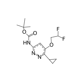 CC(C)(C)OC(=O)Nc1cc(OCC(F)F)c(C2CC2)nn1